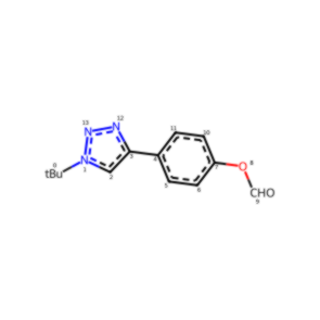 CC(C)(C)n1cc(-c2ccc(OC=O)cc2)nn1